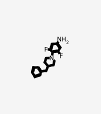 Nc1cc(F)c(N2CCC(Cc3ccccc3)CC2)c(F)c1